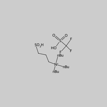 CCCC[N+](CCCC)(CCCC)CCCS(=O)(=O)O.O=S(=O)(O)C(F)(F)F